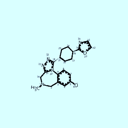 CN1Cc2cc(Cl)ccc2-n2c(nnc2[C@H]2CC[C@H](c3ncco3)CC2)C1